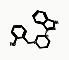 Oc1ccccc1CN1CCC[C@@H](c2n[nH]c3ccccc23)C1